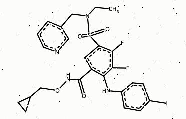 CCN(Cc1cccnc1)S(=O)(=O)c1cc(C(=O)NOCC2CC2)c(Nc2ccc(I)cc2)c(F)c1F